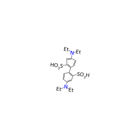 CCN(CC)c1ccc(-c2ccc(N(CC)CC)cc2S(=O)(=O)O)c(S(=O)(=O)O)c1